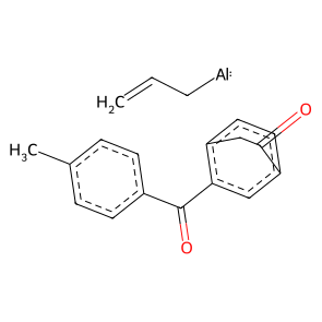 C=C[CH2][Al].Cc1ccc(C(=O)c2cc3ccc2CC3=O)cc1